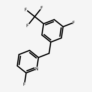 Fc1cc(Cc2cccc(F)n2)cc(C(F)(F)F)c1